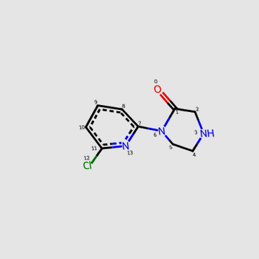 O=C1CNCCN1c1cccc(Cl)n1